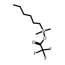 CCCCCC[Si](C)(C)OC(=O)C(F)(F)F